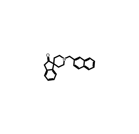 O=C1Cc2ccccc2C12CCN(Cc1ccc3ccccc3c1)CC2